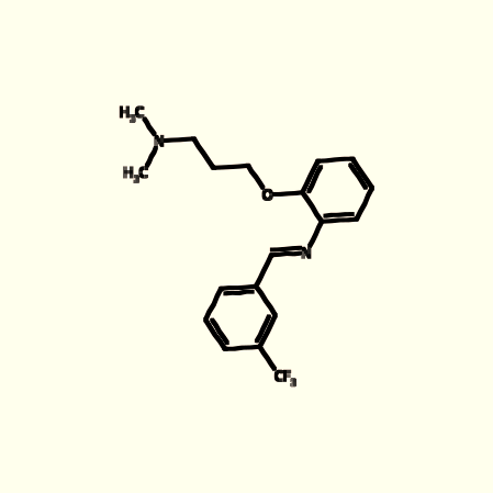 CN(C)CCCOc1ccccc1/N=C/c1cccc(C(F)(F)F)c1